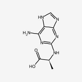 C[C@H](Nc1nc(N)c2[nH]cnc2n1)C(=O)O